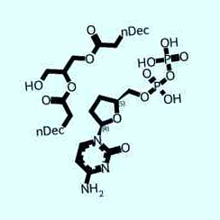 CCCCCCCCCCCC(=O)OCC(CO)OC(=O)CCCCCCCCCCC.Nc1ccn([C@H]2CC[C@@H](COP(=O)(O)OP(=O)(O)O)O2)c(=O)n1